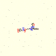 CNc1nc(-c2ccco2)nc2c1ncn2CCCCOC(=O)NCc1ccc2c(c1)OCO2